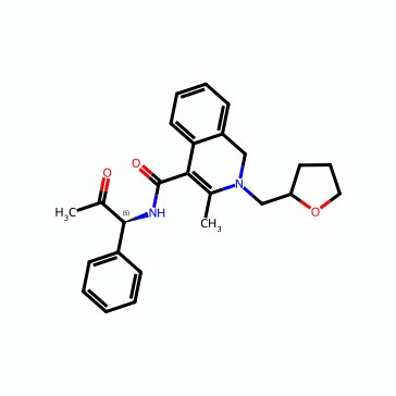 CC(=O)[C@@H](NC(=O)C1=C(C)N(CC2CCCO2)Cc2ccccc21)c1ccccc1